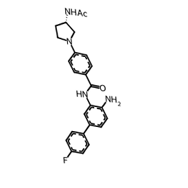 CC(=O)N[C@H]1CCN(c2ccc(C(=O)Nc3cc(-c4ccc(F)cc4)ccc3N)cc2)C1